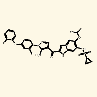 Cc1cc(Oc2ccccc2F)ccc1-n1ncc(C(=O)c2cc3cc(OC(F)F)c(NS(=O)(=O)C4CC4)cc3[nH]2)c1N